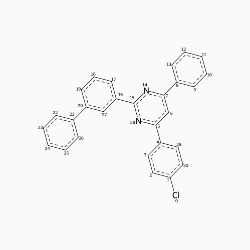 Clc1ccc(-c2cc(-c3ccccc3)nc(-c3cccc(-c4ccccc4)c3)n2)cc1